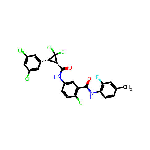 Cc1ccc(NC(=O)c2cc(NC(=O)[C@H]3[C@H](c4cc(Cl)cc(Cl)c4)C3(Cl)Cl)ccc2Cl)c(F)c1